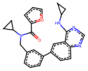 O=C(c1ccco1)N(Cc1cccc(-c2ccc3ncnc(NC4CC4)c3c2)c1)C1CC1